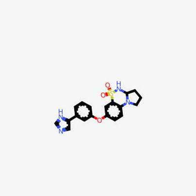 O=S1(=O)NC2CCCN2c2ccc(Oc3cccc(-c4cnc[nH]4)c3)cc21